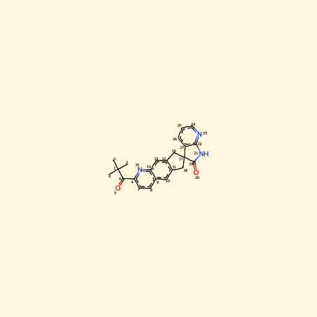 CC(C)(C)C(=O)c1ccc2cc3c(cc2n1)CC1(C3)C(=O)Nc2ncccc21